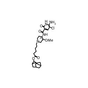 CO[C@H]1CN(CCCCCC(=O)OC2C3CC4CC(C3)CC2C4)CC[C@H]1NC(=O)c1cc(Cl)c(N)[nH]c1=O